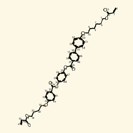 C=CC(=O)OCCCCCCOc1ccc(-c2ccc(C(=O)Oc3ccc(OC(=O)c4ccc(OCCCCOC(=O)C=C)cc4)cc3)cc2)cc1